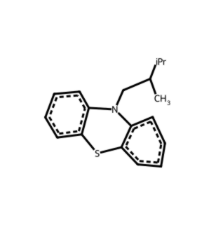 CC(C)C(C)CN1c2ccccc2Sc2ccccc21